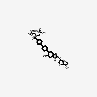 O=C(c1ccc(-c2ccc(-c3cc4nc(O[C@@H]5CO[C@H]6[C@@H]5OC[C@H]6O)[nH]c4cc3Cl)cc2)cc1)N(CP(=O)(O)O)CP(=O)(O)O